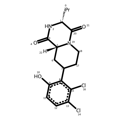 CC(C)[C@H]1NC(=O)[C@H]2CC(c3c(O)ccc(Cl)c3Cl)CCN2C1=O